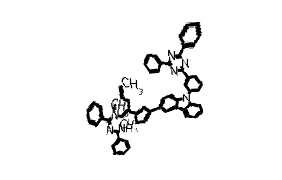 C/C=C\C/C(C1=CC(c2ccc3c(c2)c2ccccc2n3-c2cccc(-c3nc(-c4ccccc4)nc(-c4ccccc4)n3)c2)=CC1)=C(/C)N(C)/C(=N\C(=N)c1ccccc1)c1ccccc1